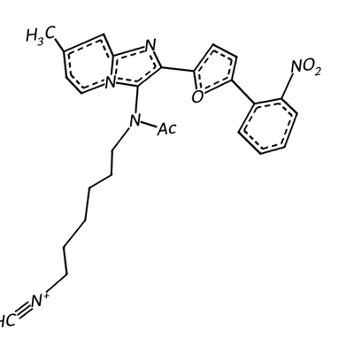 C#[N+]CCCCCCN(C(C)=O)c1c(-c2ccc(-c3ccccc3[N+](=O)[O-])o2)nc2cc(C)ccn12